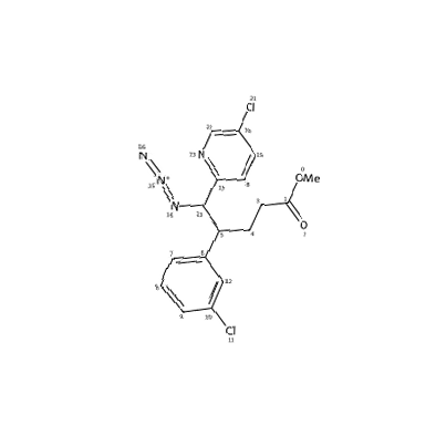 COC(=O)CCC(c1cccc(Cl)c1)C(N=[N+]=[N-])c1ccc(Cl)cn1